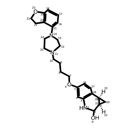 OC1Nc2cc(OCCCCN3CCN(c4cccc5c4CCO5)CC3)ccc2[C@H]2C[C@@H]12